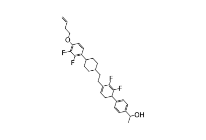 C=CCCOc1ccc(C2CCC(CCC3=CCC(c4ccc(C(C)O)cc4)C(F)=C3F)CC2)c(F)c1F